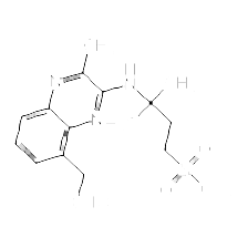 Cc1nc2cccc(CC=O)c2nc1NC(C)(C)CCS(C)(=O)=O